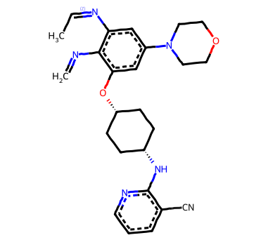 C=Nc1c(/N=C\C)cc(N2CCOCC2)cc1O[C@H]1CC[C@@H](Nc2ncccc2C#N)CC1